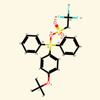 CC(C)(C)Oc1ccc(S(OS(=O)(=O)CC(F)(F)F)(c2ccccc2)c2ccccc2)cc1